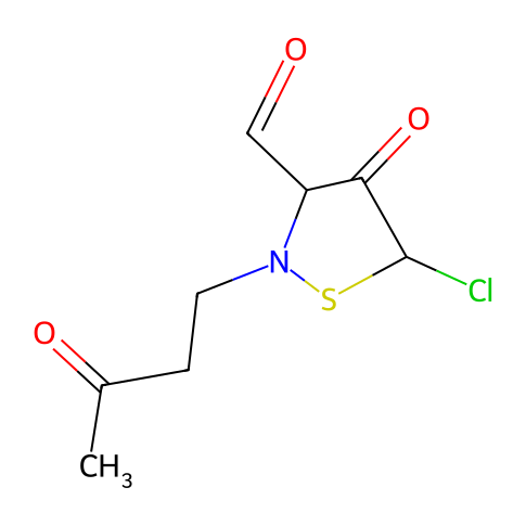 CC(=O)CCN1SC(Cl)C(=O)C1C=O